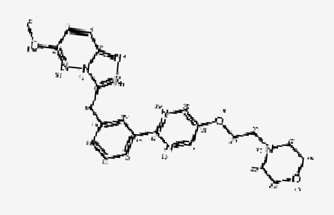 COc1ccc2nnc(Cc3cccc(-c4ncc(OCCN5CCOCC5)cn4)c3)n2n1